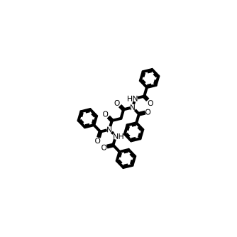 O=C(NN(C(=O)CC(=O)N(NC(=O)c1ccccc1)C(=O)c1ccccc1)C(=O)c1ccccc1)c1ccccc1